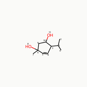 CC(C)C1C=CC(C)(O)CC1O